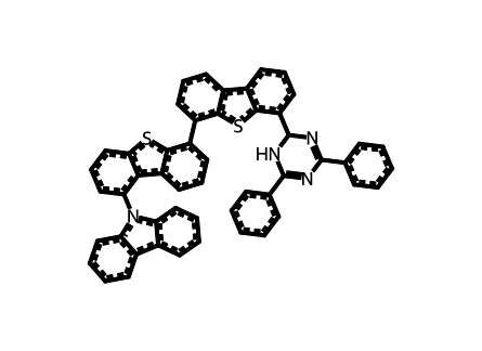 c1ccc(C2=NC(c3cccc4c3sc3c(-c5cccc6c5sc5cccc(-n7c8ccccc8c8ccccc87)c56)cccc34)NC(c3ccccc3)=N2)cc1